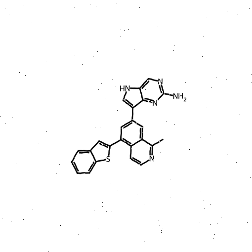 Cc1nccc2c(-c3cc4ccccc4s3)cc(-c3c[nH]c4cnc(N)nc34)cc12